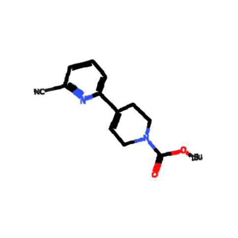 CC(C)(C)OC(=O)N1CC=C(c2cccc(C#N)n2)CC1